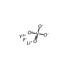 [F-].[Li+].[O]=[V]([O-])([O-])[O-].[Y+3]